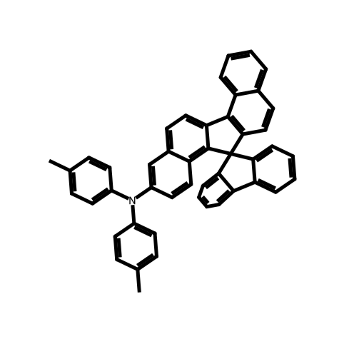 Cc1ccc(N(c2ccc(C)cc2)c2ccc3c4c(ccc3c2)-c2c(ccc3ccccc23)C42c3ccccc3-c3ccccc32)cc1